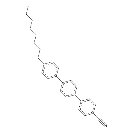 CCCCCCCCc1ccc(-c2ccc(-c3ccc(C#N)cc3)cc2)cc1